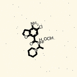 CC(NC(=O)c1cc(Cl)c(N)c2c1OCC2)N1CCCCC1.Cl.O